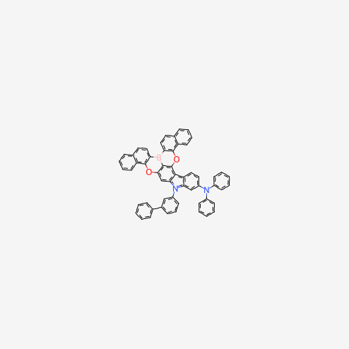 c1ccc(-c2cccc(-n3c4cc(N(c5ccccc5)c5ccccc5)ccc4c4c5c6c(cc43)Oc3c(ccc4ccccc34)B6c3ccc4ccccc4c3O5)c2)cc1